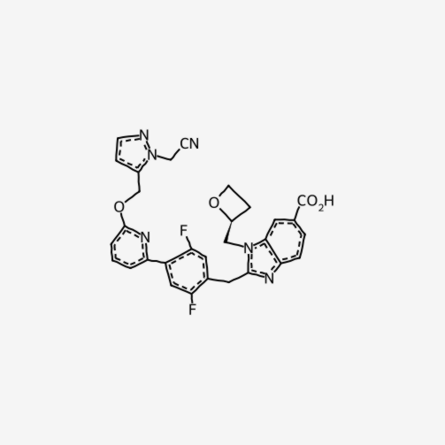 N#CCn1nccc1COc1cccc(-c2cc(F)c(Cc3nc4ccc(C(=O)O)cc4n3C[C@@H]3CCO3)cc2F)n1